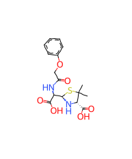 CC1(C)S[C@H]([C@H](NC(=O)COc2ccccc2)C(=O)O)N[C@H]1C(=O)O